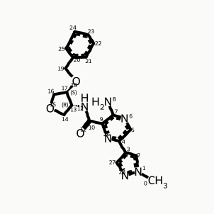 Cn1cc(-c2cnc(N)c(C(=O)N[C@@H]3COC[C@H]3OCc3ccccc3)n2)cn1